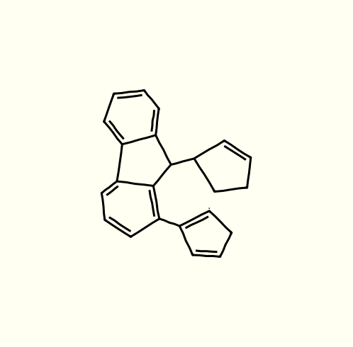 [C]1=C(c2cccc3c2C(C2C=CCC2)c2ccccc2-3)C=CC1